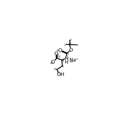 CC(C)(C)OC(=O)NC(CCO)C(=O)[O-].[Na+]